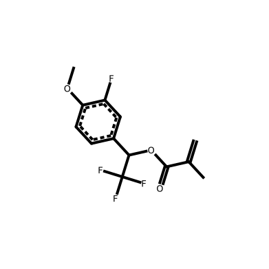 C=C(C)C(=O)OC(c1ccc(OC)c(F)c1)C(F)(F)F